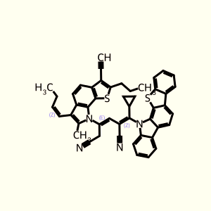 C#Cc1c(CCC)sc2c1ccc1c(/C=C\CC)c(C)n(/C(=C/C(C#N)=C(\C3CC3)n3c4ccccc4c4ccc5c6ccccc6sc5c43)CC#N)c12